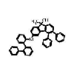 CC1(C)c2ccc(Nc3ccccc3-c3ccccc3-c3ccccc3)cc2-c2c1ccc(-c1ccccc1)c2-c1ccccc1